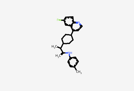 C=C(Nc1ccc(C)cc1)C(C)C1CCC(c2ccnc3ccc(F)cc23)CC1